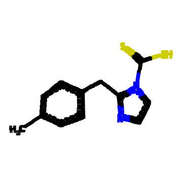 Cc1ccc(Cc2nccn2C(=S)S)cc1